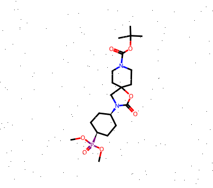 COP(=O)(OC)[C@H]1CC[C@@H](N2CC3(CCN(C(=O)OC(C)(C)C)CC3)OC2=O)CC1